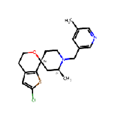 Cc1cncc(CN2CC[C@]3(C[C@@H]2C)OCCc2cc(Cl)sc23)c1